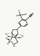 C[C@@]12[C@H]3C[C](c4ccc(C#N)c(C(F)(F)F)c4)[C@H](C3)[C@@H]1CNS2(=O)=O